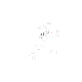 COCOc1cc(-c2cnn(C)c2)ccc1-c1cc2c(nn1)N([C@@H]1C[C@H]3CC[C@@H](C1)N3C(=O)OC(C)(C)C)CCO2